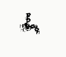 CS(=O)(=O)C(CN1C(=O)NCC1c1cccc(Oc2ccccn2)c1)c1ccc(Oc2ccc(Cl)cc2)cc1